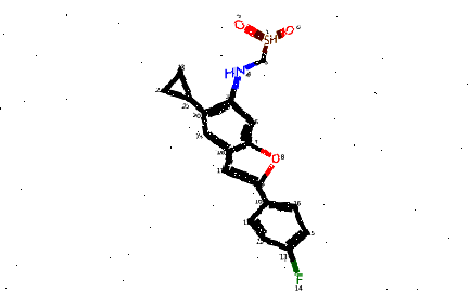 O=[SH](=O)CNc1cc2oc(-c3ccc(F)cc3)cc2cc1C1CC1